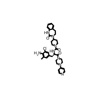 Cc1cc(C[C@@H](NC(=O)N2CCC(N3CCc4ccccc4NC3=O)CC2)C(=O)N2CCN(c3ccncc3)CC2)cc(Cl)c1N